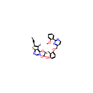 CC#Cc1sc2ncnc(O[C@H](Cc3ccccc3OCc3ccnc(-c4ccccc4OC)n3)C(=O)O)c2c1I